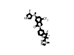 CN(c1cc2c(c(C(F)(F)F)c1)CN(c1cccc([C@@](C)(F)C(F)(F)c3nncn3C)c1)C2=O)[C@@H]1CNC[C@@H]1F